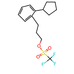 O=S(=O)(OCCCc1ccccc1C1CCCC1)C(F)(F)F